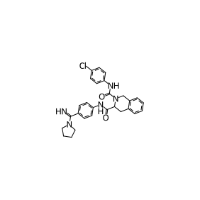 N=C(c1ccc(NC(=O)C2Cc3ccccc3CN2C(=O)Nc2ccc(Cl)cc2)cc1)N1CCCC1